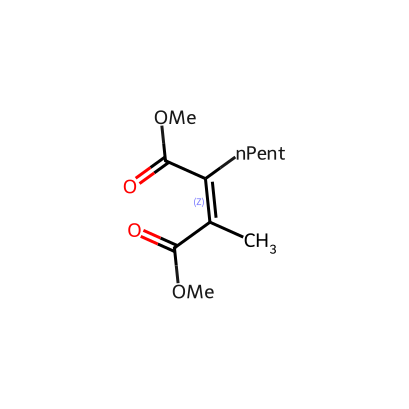 CCCCC/C(C(=O)OC)=C(\C)C(=O)OC